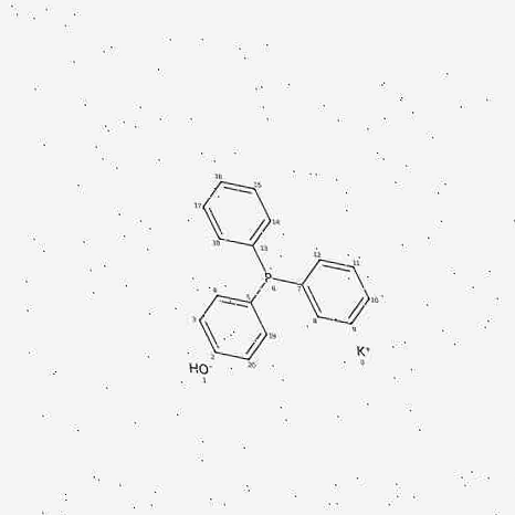 [K+].[OH-].c1ccc(P(c2ccccc2)c2ccccc2)cc1